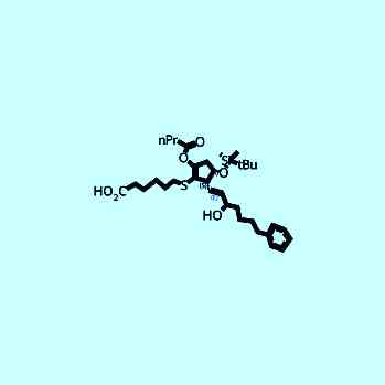 CCCC(=O)OC1=C(SCCCCCC(=O)O)[C@@H](/C=C/C(O)CCCCc2ccccc2)[C@H](O[Si](C)(C)C(C)(C)C)C1